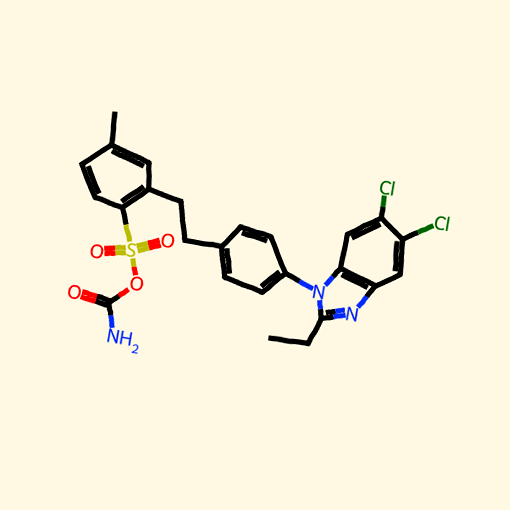 CCc1nc2cc(Cl)c(Cl)cc2n1-c1ccc(CCc2cc(C)ccc2S(=O)(=O)OC(N)=O)cc1